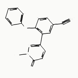 Cn1nc(-c2cc(C#N)ccc2Oc2ccccc2)ccc1=O